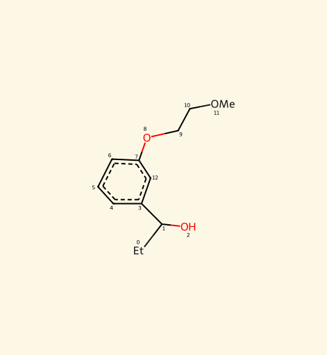 [CH2]CC(O)c1cccc(OCCOC)c1